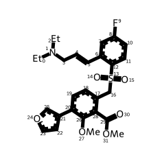 CCN(CC)CC=Cc1cc(F)ccc1S(=O)(=O)Cc1ccc(-c2ccoc2)c(OC)c1C(=O)OC